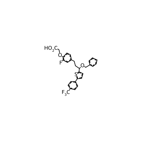 O=C(O)COc1ccc(CCC(OCc2ccccc2)c2ccc(-c3ccc(C(F)(F)F)cc3)s2)cc1F